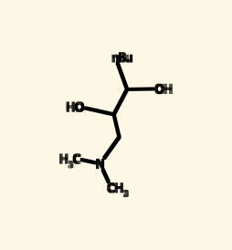 CCCCC(O)C(O)CN(C)C